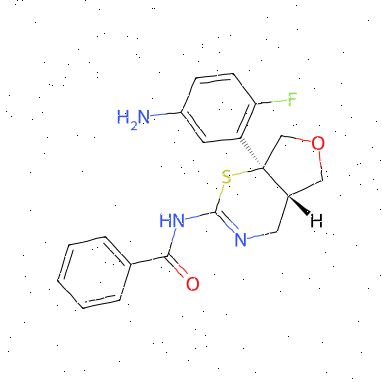 Nc1ccc(F)c([C@]23COC[C@@H]2CN=C(NC(=O)c2ccccc2)S3)c1